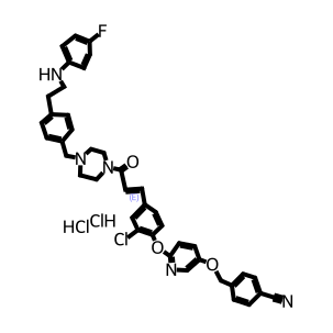 Cl.Cl.N#Cc1ccc(COc2ccc(Oc3ccc(/C=C/C(=O)N4CCN(Cc5ccc(CCNc6ccc(F)cc6)cc5)CC4)cc3Cl)nc2)cc1